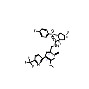 C=N/C(=C\C(=C(/C)OC)c1ccc(C(F)(F)F)nc1)CNC(=O)[C@]1(C)C[C@@H](F)CN1S(=O)(=O)c1ccc(F)cc1